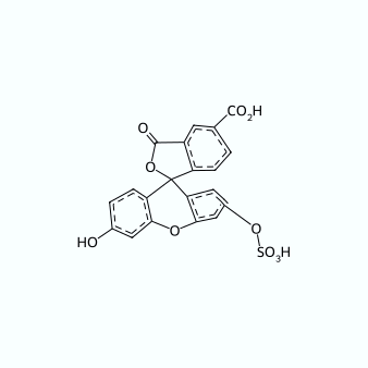 O=C(O)c1ccc2c(c1)C(=O)OC21c2ccc(O)cc2Oc2cc(OS(=O)(=O)O)ccc21